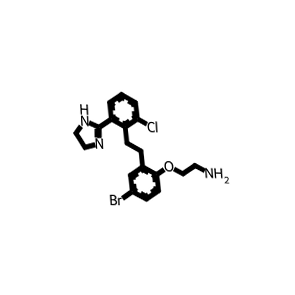 NCCOc1ccc(Br)cc1CCc1c(Cl)cccc1C1=NCCN1